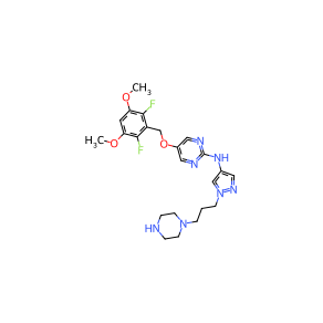 COc1cc(OC)c(F)c(COc2cnc(Nc3cnn(CCCN4CCNCC4)c3)nc2)c1F